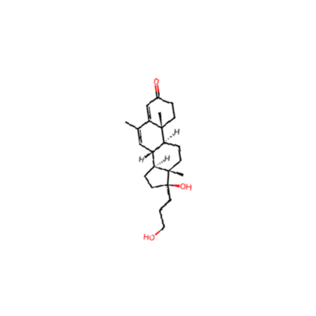 CC1=C[C@@H]2[C@H](CC[C@@]3(C)[C@H]2CC[C@@]3(O)CCCO)[C@@]2(C)CCC(=O)C=C12